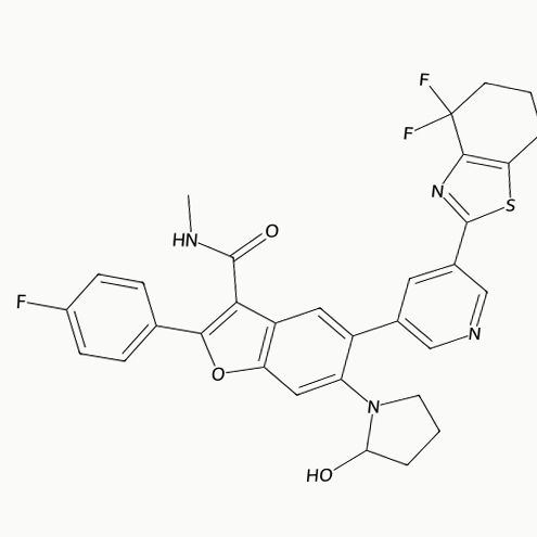 CNC(=O)c1c(-c2ccc(F)cc2)oc2cc(N3CCCC3O)c(-c3cncc(-c4nc5c(s4)CCCC5(F)F)c3)cc12